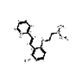 CN(C)CCOc1ccccc1C=Cc1ccccn1.Cl